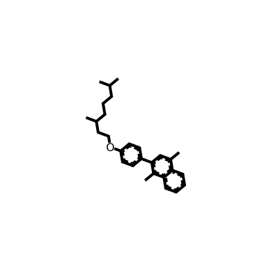 Cc1cc(-c2ccc(OCCC(C)CCCC(C)C)cc2)c(C)c2ccccc12